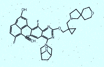 C#Cc1c(F)ccc2cc(O)cc(-c3c(Cl)cc4c(N5CC6CCC(C5)N6)nc(OCC5(CN6CCC7(CCOCC7)C6)CC5)nc4c3F)c12